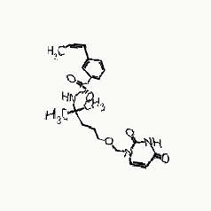 C/C=C\c1cccc(S(=O)(=O)NC(C)(C)CCCOCn2ccc(=O)[nH]c2=O)c1